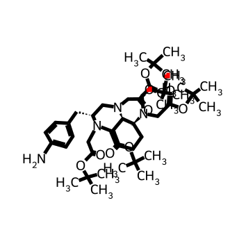 CC(C)(C)OC(=O)CN(CC(=O)OC(C)(C)C)[C@H](Cc1ccc(N)cc1)CN(CC(=O)OC(C)(C)C)[C@H]1CCCC[C@@H]1N(CC(=O)OC(C)(C)C)CC(=O)OC(C)(C)C